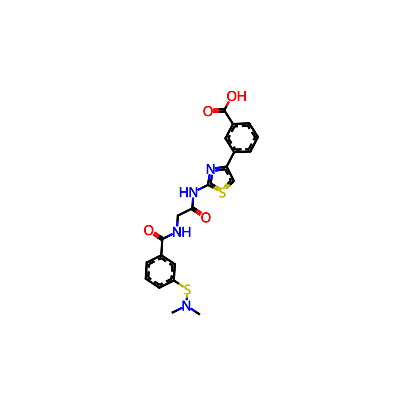 CN(C)Sc1cccc(C(=O)NCC(=O)Nc2nc(-c3cccc(C(=O)O)c3)cs2)c1